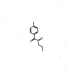 CCC[P](=O)C(=O)c1ccc(C)cc1